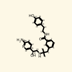 CC(C)(Cc1cccc(C(=O)NCCc2ccc(O)cc2)c1)NC[C@@H](O)c1ccc(N)nc1